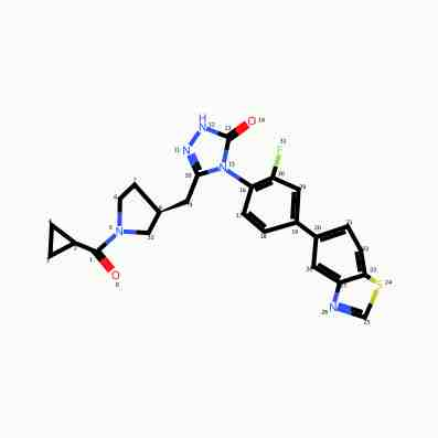 O=C(C1CC1)N1CC[C@@H](Cc2n[nH]c(=O)n2-c2ccc(-c3ccc4scnc4c3)cc2F)C1